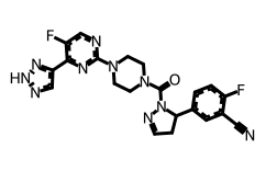 N#Cc1cc(C2CC=NN2C(=O)N2CCN(c3ncc(F)c(-c4cn[nH]n4)n3)CC2)ccc1F